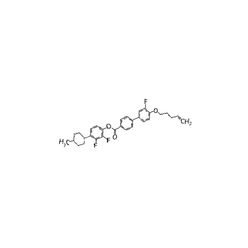 C=CCCCOc1ccc(-c2ccc(C(=O)Oc3ccc(C4CCC(C)CC4)c(F)c3F)cc2)cc1F